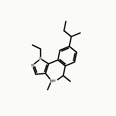 CCC(C)c1ccc(C(C)C)c(-c2c(NC)cnn2CC)c1